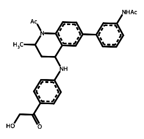 CC(=O)Nc1cccc(-c2ccc3c(c2)C(Nc2ccc(C(=O)CO)cc2)CC(C)N3C(C)=O)c1